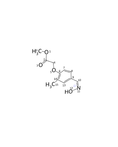 COC(=O)COc1ccc(/C=N\O)cc1C